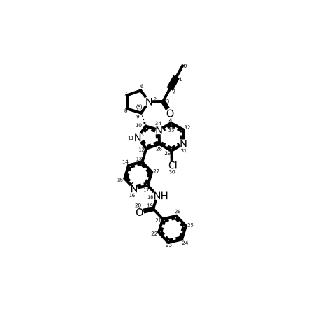 CC#CC(=O)N1CCC[C@H]1c1nc(-c2ccnc(NC(=O)c3ccccc3)c2)c2c(Cl)nccn12